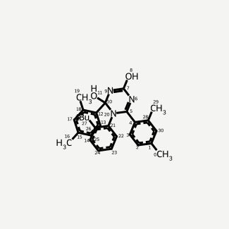 Cc1ccc(C2=NC(O)=NC(O)(c3ccc(C)cc3C)N2c2ccccc2C(C)(C)C)c(C)c1